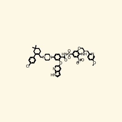 COc1ccc(C[C@@H]2COc3cc(S(=O)(=O)NC(=O)c4ccc(N5CCN(CC6=C(c7ccc(Cl)cc7)CC(C)(C)CC6)CC5)cc4Oc4cnc5[nH]ccc5c4)cc([N+](=O)[O-])c3N2)nc1